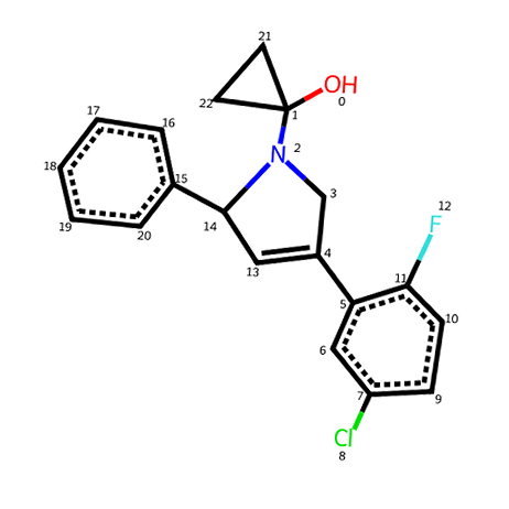 OC1(N2CC(c3cc(Cl)ccc3F)=CC2c2ccccc2)CC1